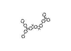 CC1(C)c2ccc(-c3ccc4c(c3)c3ccccc3n4-c3ccccc3)cc2-c2cc3c(cc21)-c1ccc(N(c2ccc(-c4ccccc4)cc2)c2ccc(-c4ccccc4)cc2)cc1C3(C)C